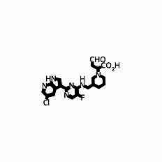 O=CCC(C(=O)O)N1CCCC(CNc2nc(-c3c[nH]c4ncc(Cl)cc34)ncc2F)C1